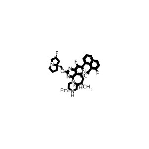 C#Cc1c(F)ccc2cccc(-c3nc4c5c(nc(OC[C@@]67CCCN6C[C@H](F)C7)nc5c3F)N3C[C@@H](CC)NC[C@H]3[C@H](C)C4)c12